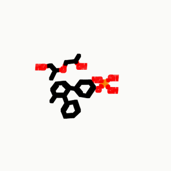 CC(O)COC(C)CO.Cc1cccc(-c2ccccc2)c1-c1ccccc1.O=P(O)(O)O